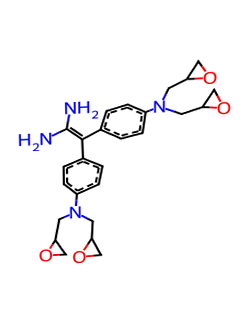 NC(N)=C(c1ccc(N(CC2CO2)CC2CO2)cc1)c1ccc(N(CC2CO2)CC2CO2)cc1